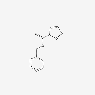 O=C(OCc1ccccc1)C1C=COO1